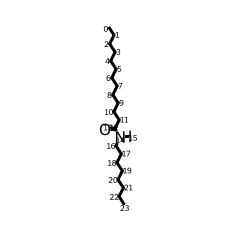 CCCCCCCCCCCCC(=O)N(I)CCCCCCCC